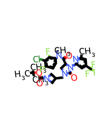 Cc1cc(C(F)(F)F)cc(N2C(=O)N(CC3CN(C(=O)OC(C)(C)C)C3)CC2C(=O)N(C)c2ccc(F)c(Cl)c2F)n1